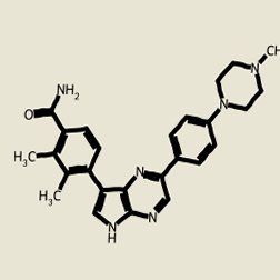 Cc1c(C(N)=O)ccc(-c2c[nH]c3ncc(-c4ccc(N5CCN(C)CC5)cc4)nc23)c1C